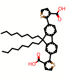 CCCCCCCCC1(CCCCCCCC)c2cc(-c3sccc3C(=O)O)ccc2-c2ccc(-c3sccc3C(=O)O)cc21